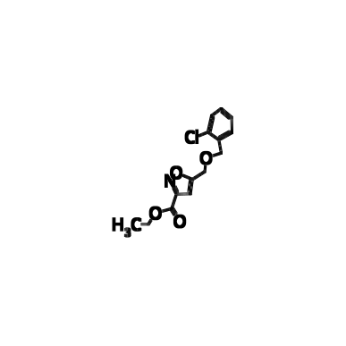 CCOC(=O)c1cc(COCc2ccccc2Cl)on1